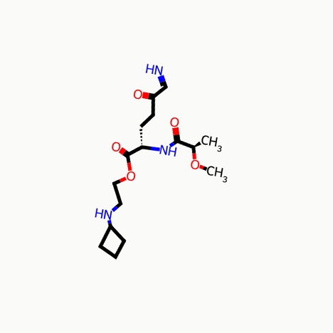 CO[C@H](C)C(=O)N[C@@H](CCC(=O)C=N)C(=O)OCCNC1CCC1